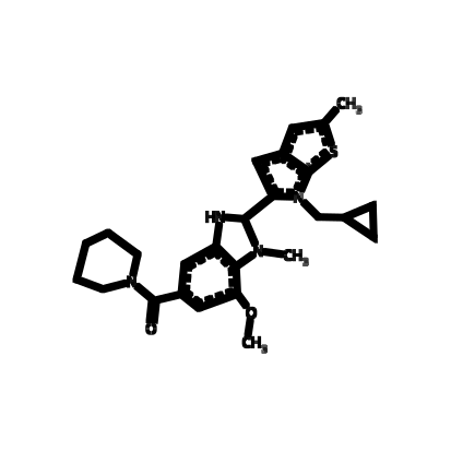 COc1cc(C(=O)N2CCCCC2)cc2c1N(C)C(c1cc3cc(C)sc3n1CC1CC1)N2